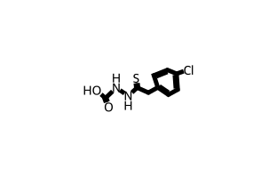 O=C(O)NNC(=S)Cc1ccc(Cl)cc1